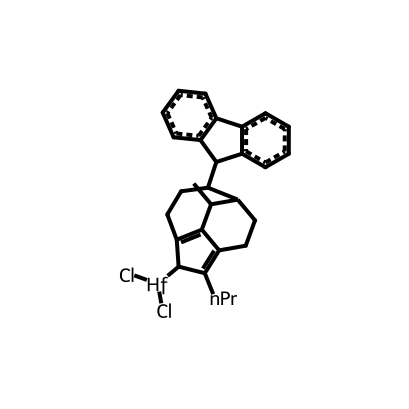 CCCC1=C2CCC3C(C)C2=C(CCC3C2c3ccccc3-c3ccccc32)[CH]1[Hf]([Cl])[Cl]